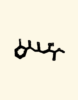 COC(=O)C(O)=CC(=O)CC(=O)c1ccccc1F